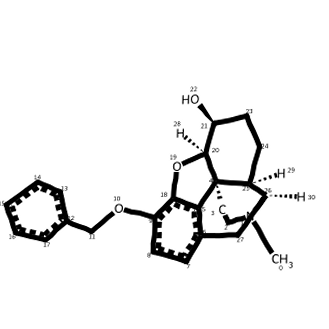 CN1CC[C@]23c4c5ccc(OCc6ccccc6)c4O[C@H]2[C@@H](O)CC[C@H]3[C@H]1C5